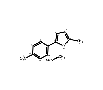 CNC.Cc1ncc(-c2ccc([N+](=O)[O-])cc2)o1